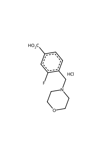 Cl.O=C(O)c1ccc(CN2CCOCC2)c(F)c1